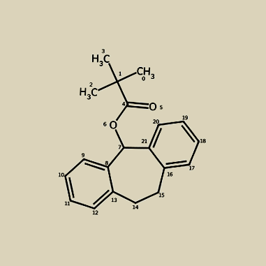 CC(C)(C)C(=O)OC1c2ccccc2CCc2ccccc21